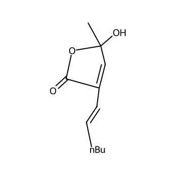 CCCCC=CC1=CC(C)(O)OC1=O